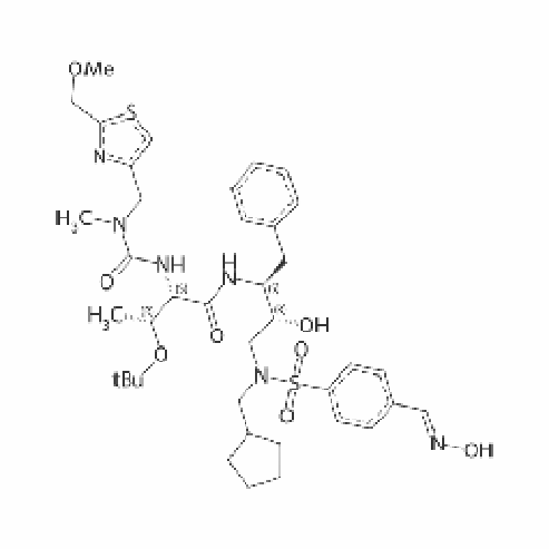 COCc1nc(CN(C)C(=O)N[C@H](C(=O)N[C@@H](Cc2ccccc2)[C@H](O)CN(CC2CCCC2)S(=O)(=O)c2ccc(C=NO)cc2)[C@@H](C)OC(C)(C)C)cs1